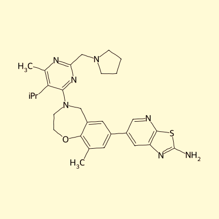 Cc1cc(-c2cnc3sc(N)nc3c2)cc2c1OCCN(c1nc(CN3CCCC3)nc(C)c1C(C)C)C2